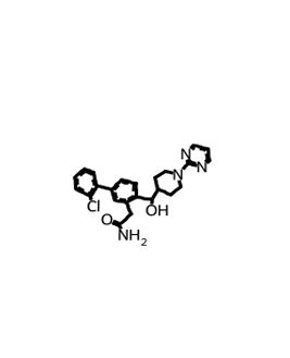 NC(=O)Cc1cc(-c2ccccc2Cl)ccc1C(O)C1CCN(c2ncccn2)CC1